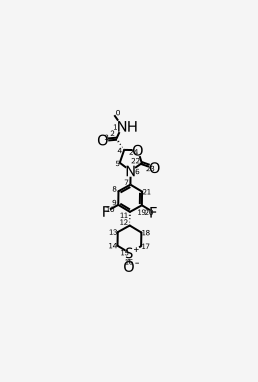 CNC(=O)[C@H]1CN(c2cc(F)c([C@H]3CC[S@+]([O-])CC3)c(F)c2)C(=O)O1